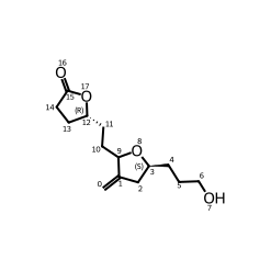 C=C1C[C@H](CCCO)OC1CC[C@@H]1CCC(=O)O1